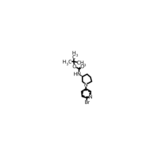 CC(C)(C)OC(=O)N[C@H]1CCCN(c2ccc(Br)nc2)C1